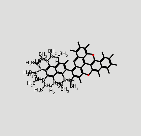 BBB(B)B(B(B)B)c1c(B(B(B)B)B(B)B)c(B(BB)B(B)B)c(B(B)B(B)B)c2c(B(B)BB)c(-c3c(C)c(C)c(C)c4c(-c5c(C)c(C)c6c(C)c(C)c(C)c(C)c6c5C)c5c(C)c(C)c(C)c(C)c5cc34)c(C)c(C)c12